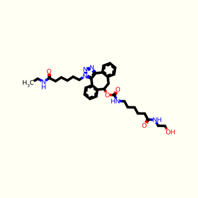 CCNC(=O)CCCCCn1nnc2c1-c1ccccc1C(OC(=O)NCCCCCC(=O)NCCO)Cc1ccccc1-2